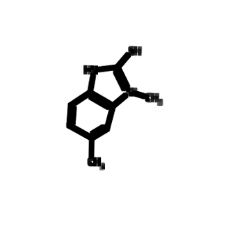 Cc1ccc2[nH]c(S)[n+](C)c2c1